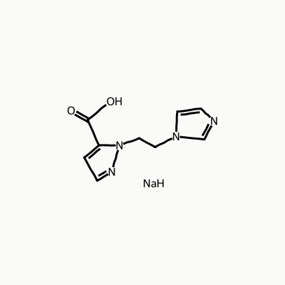 O=C(O)c1ccnn1CCn1ccnc1.[NaH]